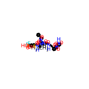 CC(C)(C)C(NC(=O)c1cc2cc(C(F)(F)P(=O)(O)O)ccc2s1)C(=O)N1CCN(C(=O)CC(=O)NCC#Cc2cccc3c2C(=O)N(C2CCC(=O)NC2=O)C3=O)C[C@H]1C(=O)N1CCO[C@H](c2ccccc2)C1